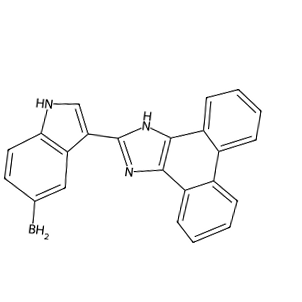 Bc1ccc2[nH]cc(-c3nc4c5ccccc5c5ccccc5c4[nH]3)c2c1